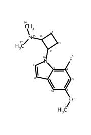 COc1cc(F)c2c(ccn2C2CCC2N(C)C)c1